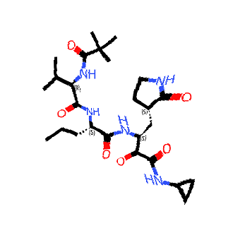 CCC[C@H](NC(=O)[C@H](NC(=O)C(C)(C)C)C(C)C)C(=O)N[C@@H](C[C@@H]1CCNC1=O)C(=O)C(=O)NC1CC1